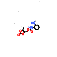 CNC1CCCCC1NC(=O)OCc1oc(=O)oc1C